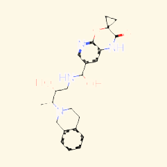 C[C@@H]([C@@H](O)CNC(O)c1cnc2c(c1)NC(=O)C1(CC1)O2)N1CCc2ccccc2C1